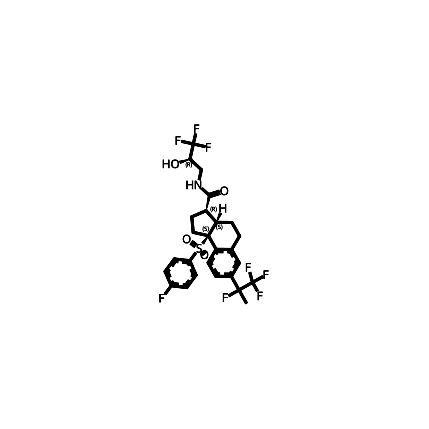 CC(F)(c1ccc2c(c1)CC[C@H]1[C@H](C(=O)NC[C@@H](O)C(F)(F)F)CC[C@@]21S(=O)(=O)c1ccc(F)cc1)C(F)(F)F